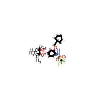 CC1(C)OB(c2ccc(NS(=O)(=O)C(F)F)c(OCC3CCCCC3)c2)OC1(C)C